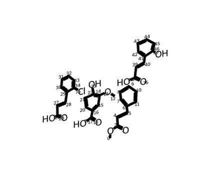 COC(=O)C=Cc1ccccc1.COc1cc(C(=O)O)ccc1O.O=C(O)C=Cc1ccccc1Cl.O=C(O)C=Cc1ccccc1O